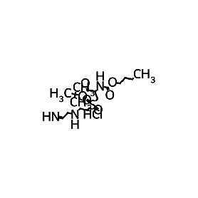 CCCCOC(=O)NC(CS(=O)(=O)CCNCC=N)C(=O)OC(C)(C)C.Cl